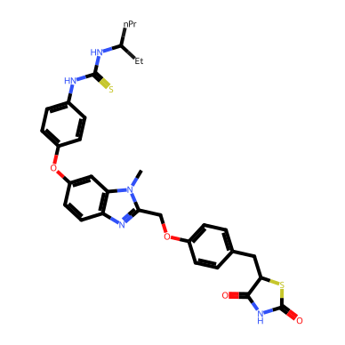 CCCC(CC)NC(=S)Nc1ccc(Oc2ccc3nc(COc4ccc(CC5SC(=O)NC5=O)cc4)n(C)c3c2)cc1